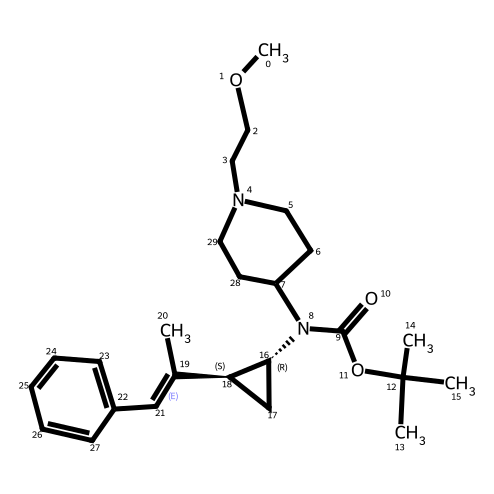 COCCN1CCC(N(C(=O)OC(C)(C)C)[C@@H]2C[C@H]2/C(C)=C/c2ccccc2)CC1